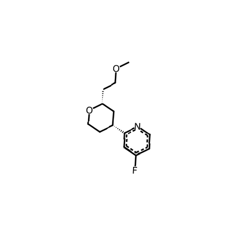 COCC[C@@H]1C[C@H](c2cc(F)ccn2)CCO1